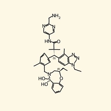 CC[C@@H]1CN(Cc2cc([C@@H](c3ccc4c(nnn4CC)c3C)C(C)(C)C(=O)Nc3cnc(CN)nc3)ccc2C)S(O)(O)c2ccccc2O1